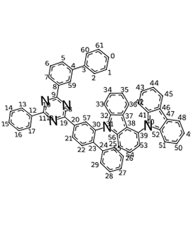 c1ccc(-c2cccc(-c3nc(-c4ccccc4)nc(-c4ccc(-c5ccccc5)c(-n5c6ccccc6c6c(-n7c8ccccc8c8ccccc87)cccc65)c4)n3)c2)cc1